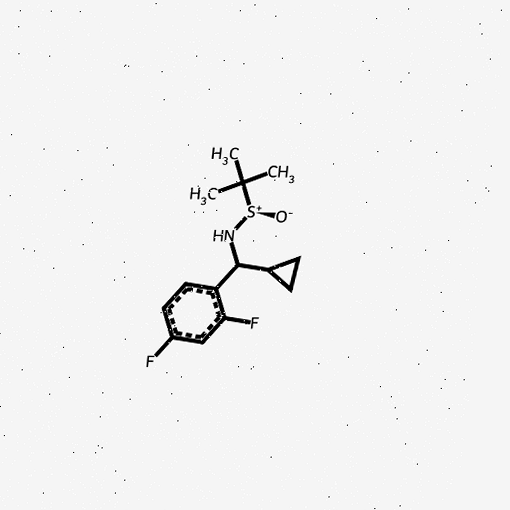 CC(C)(C)[S@@+]([O-])NC(c1ccc(F)cc1F)C1CC1